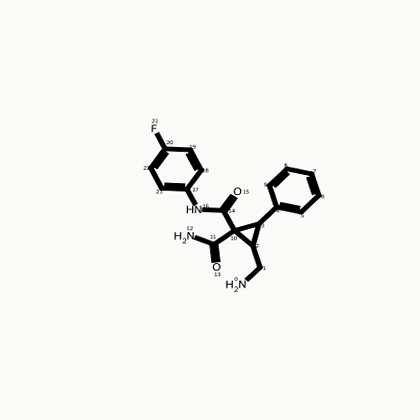 NCC1C(c2ccccc2)C1(C(N)=O)C(=O)Nc1ccc(F)cc1